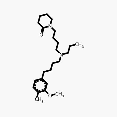 CCCN(CCCCc1ccc(C)c(OC)c1)CCCCN1CCCCC1=O